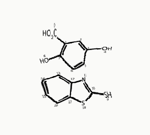 O=C(O)c1cc(O)ccc1O.Sc1nc2ccccc2s1